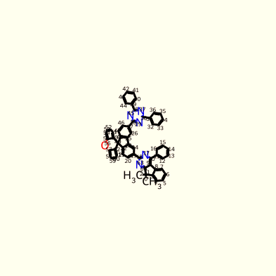 CC1(C)c2ccccc2-c2c(-c3ccccc3)nc(-c3ccc4c(c3)-c3cc(-c5nc(-c6ccccc6)nc(-c6ccccc6)n5)ccc3C43c4ccccc4Oc4ccccc43)nc21